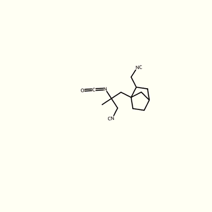 [C-]#[N+]CC1CC2CCC1(CC(C)(C[N+]#[C-])N=C=O)C2